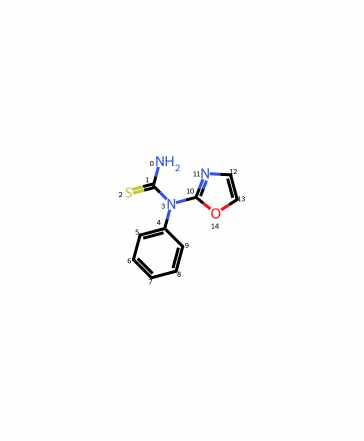 NC(=S)N(c1ccccc1)c1ncco1